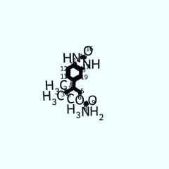 CC(C)(C)C(COC(N)=O)c1ccc2[nH]c(=O)[nH]c2c1